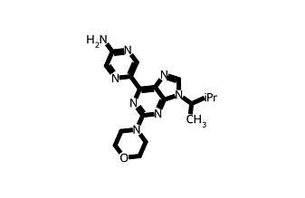 CC(C)C(C)n1cnc2c(-c3cnc(N)cn3)nc(N3CCOCC3)nc21